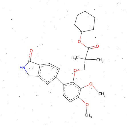 COc1ccc(-c2ccc3c(c2)CNC3=O)c(OCC(C)(C)C(=O)OC2CCCCC2)c1OC